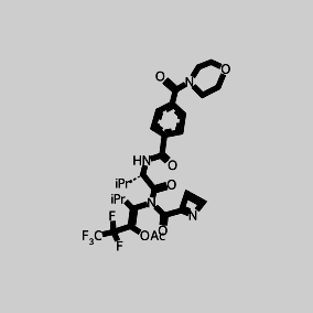 CC(=O)O/C(=C(/C(C)C)N(C(=O)C1=NC=C1)C(=O)[C@@H](NC(=O)c1ccc(C(=O)N2CCOCC2)cc1)C(C)C)C(F)(F)C(F)(F)F